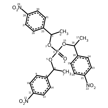 CC(OP(=O)(OC(C)c1ccc([N+](=O)[O-])cc1)OC(C)c1ccc([N+](=O)[O-])cc1)c1ccc([N+](=O)[O-])cc1